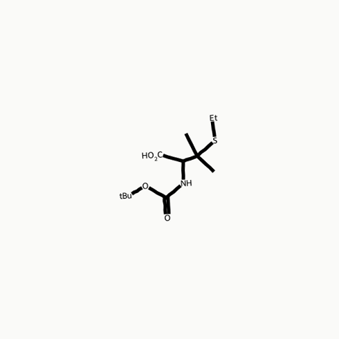 CCSC(C)(C)C(NC(=O)OC(C)(C)C)C(=O)O